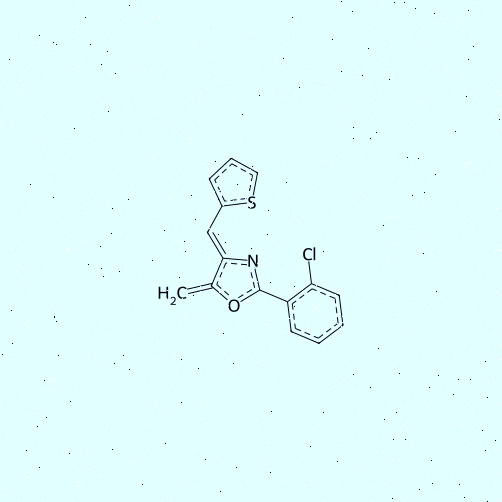 C=c1oc(-c2ccccc2Cl)n/c1=C\c1cccs1